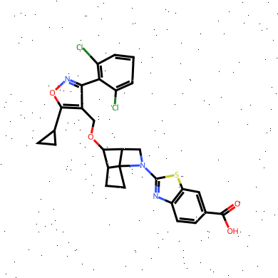 O=C(O)c1ccc2nc(N3CC4C(OCc5c(-c6c(Cl)cccc6Cl)noc5C5CC5)C5CCC543)sc2c1